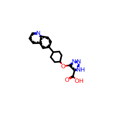 O=C(O)c1[nH]nnc1OC1CCC(c2ccc3ncccc3c2)CC1